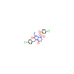 CCN1CC2N(C(=O)CCN2S(=O)(=O)c2cc(Cl)ccc2OC)C(Cc2ccc(Cl)cc2)C1=O